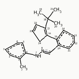 Cc1ccccc1N/N=C/c1ccccc1C1=C(C(C)(C)C)C=CC1